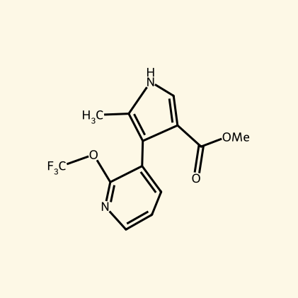 COC(=O)c1c[nH]c(C)c1-c1cccnc1OC(F)(F)F